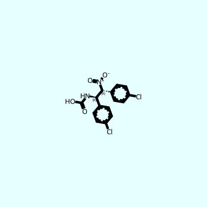 O=C(O)N[C@H](c1ccc(Cl)cc1)[C@@H](c1ccc(Cl)cc1)[N+](=O)[O-]